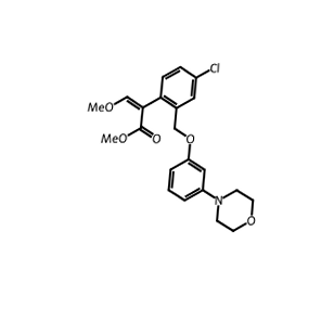 COC=C(C(=O)OC)c1ccc(Cl)cc1COc1cccc(N2CCOCC2)c1